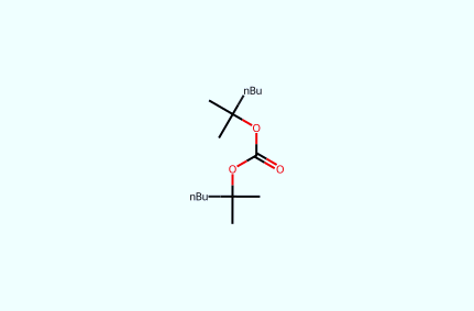 CCCCC(C)(C)OC(=O)OC(C)(C)CCCC